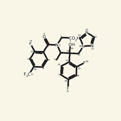 CC(N(CC(=O)O)C(=O)c1ccc(C(F)(F)F)cc1F)C(O)(Cn1cncn1)c1ccc(F)cc1F